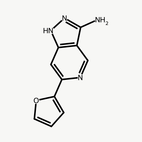 Nc1n[nH]c2cc(-c3ccco3)ncc12